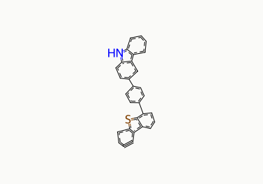 c1ccc2sc3c(-c4ccc(-c5ccc6[nH]c7ccccc7c6c5)cc4)cccc3c2c#1